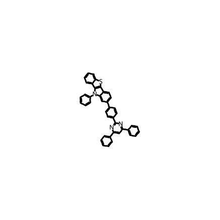 c1ccc(-c2cc(-c3ccccc3)nc(-c3ccc(-c4ccc5c6sc7ccccc7c6n(-c6ccccc6)c5c4)cc3)n2)cc1